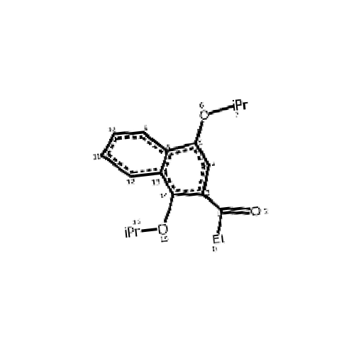 CCC(=O)c1cc(OC(C)C)c2ccccc2c1OC(C)C